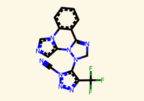 N#Cn1nnc(C(F)(F)F)c1N1CN=C2c3ccccc3-n3cncc3N21